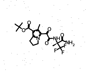 Cc1c(C(=O)OC(C)(C)C)c2n(c1C(=O)C(=O)N[C@](C)(C(N)=O)C(F)(F)F)CCC2